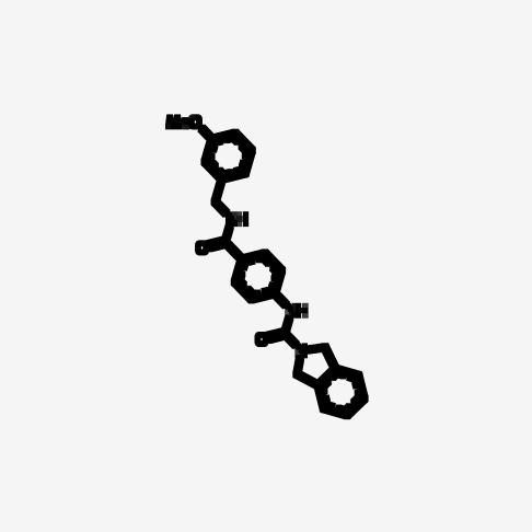 COc1cccc(CNC(=O)c2ccc(NC(=O)N3Cc4ccccc4C3)cc2)c1